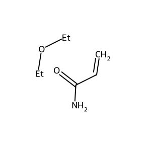 C=CC(N)=O.CCOCC